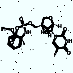 CC(C)OC(=O)[C@@H](C)NP(=O)(OC[C@@]12CO[C@@H]([C@H](n3cc(F)c(=O)[nH]c3=O)O1)[C@@H]2O)Oc1ccccc1